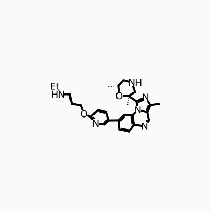 CCNCCCOc1ccc(-c2ccc3ncc4c(C)nc([C@]5(C)CNC[C@@H](C)O5)n4c3c2)cn1